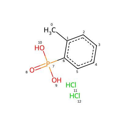 Cc1ccccc1P(=O)(O)O.Cl.Cl